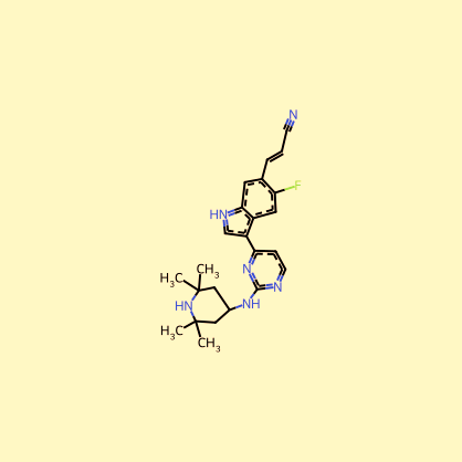 CC1(C)CC(Nc2nccc(-c3c[nH]c4cc(C=CC#N)c(F)cc34)n2)CC(C)(C)N1